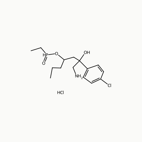 CCCC(CC(O)(CN)c1ccc(Cl)cc1)O[PH](=O)CC.Cl